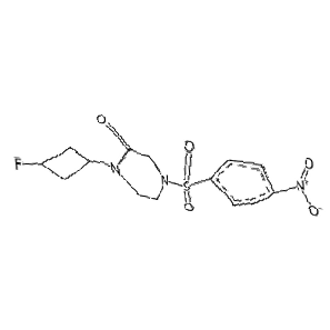 O=C1CN(S(=O)(=O)c2ccc([N+](=O)[O-])cc2)CCN1C1CC(F)C1